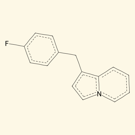 Fc1ccc(Cc2ccn3ccccc23)cc1